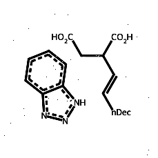 CCCCCCCCCCC=CC(CC(=O)O)C(=O)O.c1ccc2[nH]nnc2c1